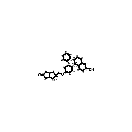 O=C1CC2CC(F)(COc3ccc([C@@H]4c5ccc(O)cc5CC[C@@H]4c4ccccc4)cc3)CC2C1